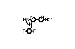 [C-]#[N+]c1ccc(-c2cnc3c(c2)N(Cc2cc(F)ccc2F)CCN3)cn1